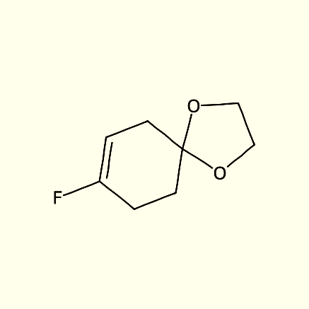 FC1=CCC2(CC1)OCCO2